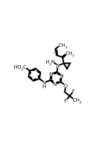 C=C(/C=C\C)C1(N(N)c2nc(Nc3ccc(C(=O)O)cc3)nc(OCC(C)(F)F)n2)CC1